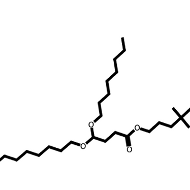 CCCCCCCCOC(CCC(=O)OCCCC(C)(C)C)OCCCCCCCC